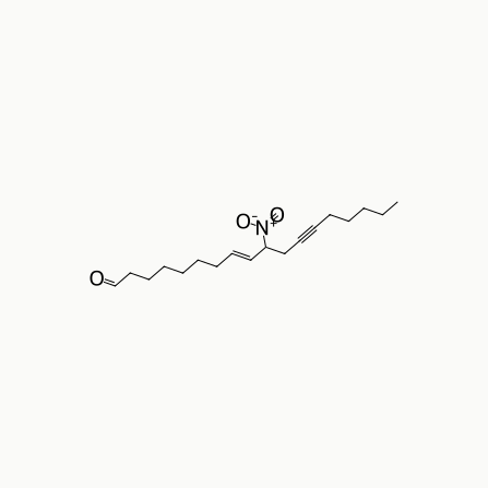 CCCCCC#CCC(C=CCCCCCCC=O)[N+](=O)[O-]